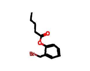 CCCCC(=O)Oc1ccccc1CBr